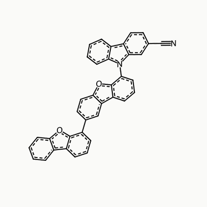 N#Cc1ccc2c3ccccc3n(-c3cccc4c3oc3ccc(-c5cccc6c5oc5ccccc56)cc34)c2c1